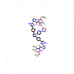 COC(=O)N[C@H](C(=O)N1CCC[C@H]1c1nc(-c2ccc(-c3ccc(-c4ccc(-c5c[nH]c([C@@H]6CCCN6C(=O)[C@@H](NC(=O)OC)C(C)C)n5)cc4)n3-c3ccc(N4CCOCC4)nc3)cc2)c[nH]1)C(C)C